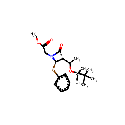 COC(=O)CN1C(=O)[C@H]([C@@H](C)O[Si](C)(C)C(C)(C)C)[C@H]1Sc1ccccc1